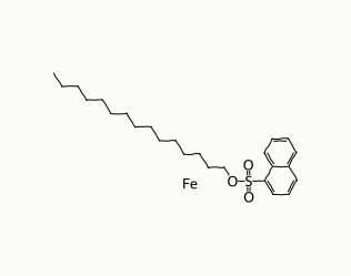 CCCCCCCCCCCCCCCOS(=O)(=O)c1cccc2ccccc12.[Fe]